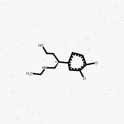 CCNC[C@@H](CCO)c1ccc(Cl)c(Cl)c1